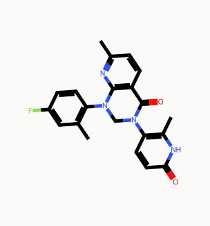 Cc1ccc2c(n1)N(c1ccc(F)cc1C)CN(c1ccc(=O)[nH]c1C)C2=O